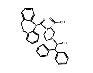 O=C(O)[C@@H]1CN(C(O)C(c2ccccc2)c2ccccc2)CCN1C(=O)N1c2ccccc2CSc2ccccc21